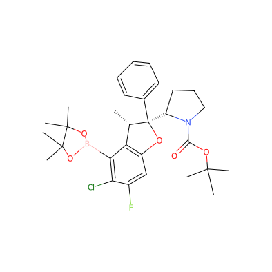 C[C@H]1c2c(cc(F)c(Cl)c2B2OC(C)(C)C(C)(C)O2)O[C@@]1(c1ccccc1)C1CCCN1C(=O)OC(C)(C)C